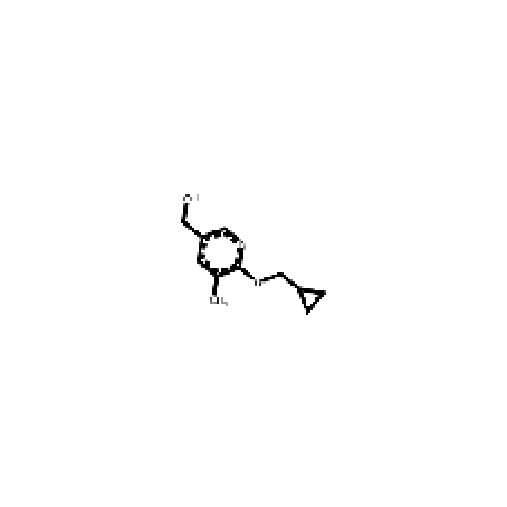 Cc1cc(CO)cnc1OCC1CC1